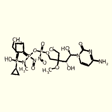 CCC=P(O)(C1CC1)N(C)P(N=O)(OP(=O)(N=O)OCC(CCl)(OC)[C@@H](O)[C@@H](O)n1ccc(N)nc1=O)=C1CCC1